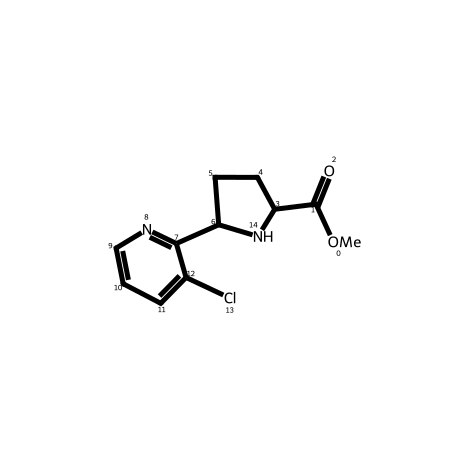 COC(=O)C1CCC(c2ncccc2Cl)N1